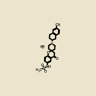 CS(=O)(=O)Nc1ccc2c(c1)C(=O)CC1(CCN([C@@H]3CCc4cc(C#N)ccc4C3)CC1)O2.[Cl-].[H+]